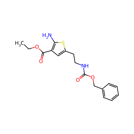 CCOC(=O)c1cc(CCNC(=O)OCc2ccccc2)sc1N